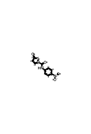 O=C(Nc1ccc([N+](=O)[O-])cc1)n1ccc(=O)s1